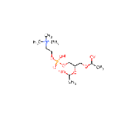 CC(O)OCC(COP(=O)(O)OCC[N+](C)(C)C)OC(C)O